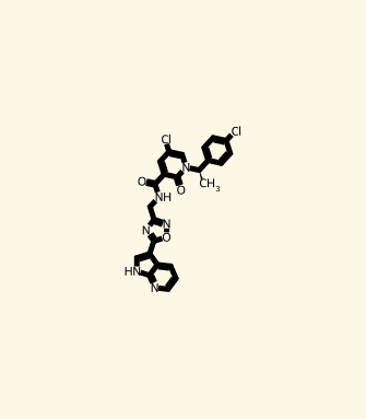 C[C@@H](c1ccc(Cl)cc1)n1cc(Cl)cc(C(=O)NCc2noc(-c3c[nH]c4ncccc34)n2)c1=O